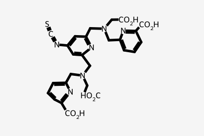 O=C(O)CN(Cc1cc(N=C=S)cc(CN(CC(=O)O)Cc2cccc(C(=O)O)n2)n1)Cc1cccc(C(=O)O)n1